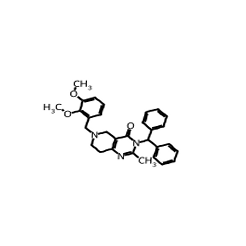 COc1cccc(CN2CCc3nc(C)n(C(c4ccccc4)c4ccccc4)c(=O)c3C2)c1OC